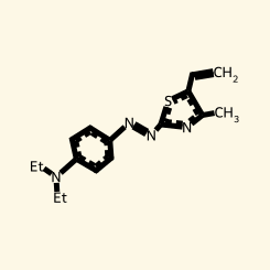 C=Cc1sc(N=Nc2ccc(N(CC)CC)cc2)nc1C